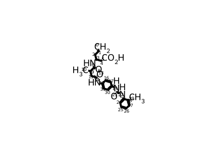 C=CCC(CC(=O)O)NC(=O)C(C)CC(=O)Nc1ccc(NC(=O)Nc2ccccc2C)cc1